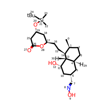 C[C@H]1CC[C@H]2C[C@H](C=NO)C[C@H](O)[C@@H]2[C@H]1CC[C@@H]1C[C@@H](O[Si](C)(C)C(C)(C)C)CC(=O)O1